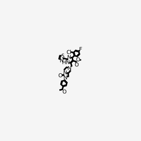 COC(=O)C1=C(CN2CCN3C(=O)N(c4ccc(C(C)=O)cc4)CC3C2)NC(c2nccs2)=NC1c1ccc(F)cc1Cl